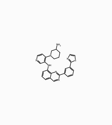 NC1CCCN(c2ccncc2Nc2cccc3cnc(-c4cccc(-c5nccs5)c4)nc23)C1